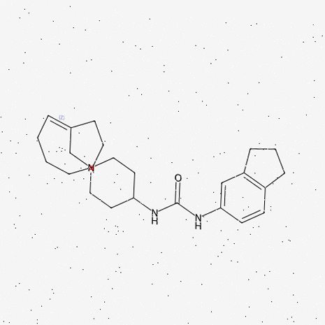 O=C(Nc1ccc2c(c1)CCC2)NC1CCN(C/C2=C\CCCCCC2)CC1